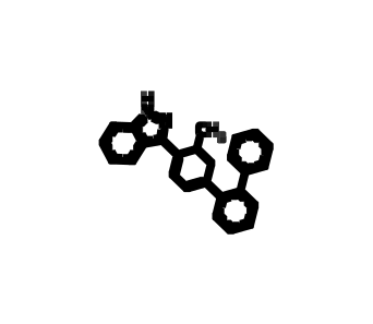 CC1CC(c2ccccc2-c2ccccc2)=CC=C1c1n[nH]c2ccccc12